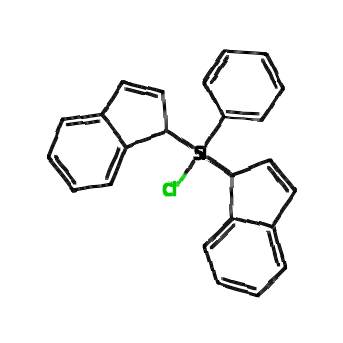 Cl[Si](c1ccccc1)(C1C=Cc2ccccc21)C1C=Cc2ccccc21